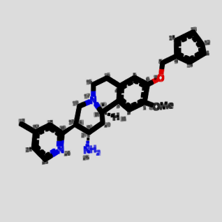 COc1cc2c(cc1OCc1ccccc1)CCN1C[C@H](c3cc(C)ccn3)[C@@H](N)C[C@H]21